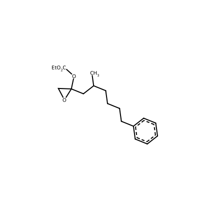 CCOC(=O)OC1(CC(C)CCCCc2ccccc2)CO1